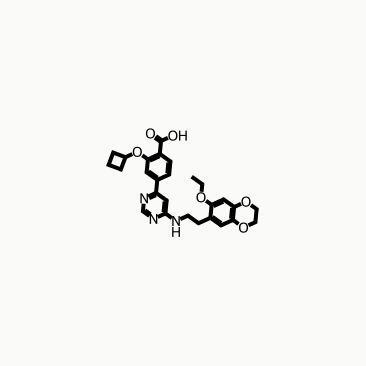 CCOc1cc2c(cc1CCNc1cc(-c3ccc(C(=O)O)c(OC4CCC4)c3)ncn1)OCCO2